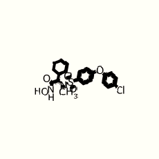 CN([C@@H](C(=O)NO)C1CCCCC1)S(=O)(=O)c1ccc(Oc2ccc(Cl)cc2)cc1